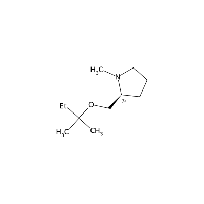 CCC(C)(C)OC[C@@H]1CCCN1C